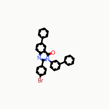 O=c1c2cc(-c3ccccc3)ccc2nc(-c2ccc(Br)cc2)n1-c1cccc(-c2ccccc2)c1